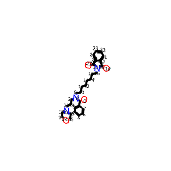 O=C(c1ccccc1)N(CCCCCCCCN1C(=O)c2ccccc2C1=O)CCCN1CCOCC1